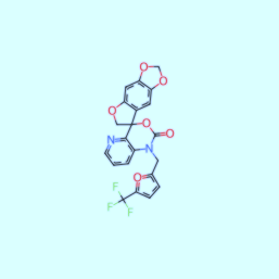 O=C1OC2(COc3cc4c(cc32)OCO4)c2ncccc2N1Cc1ccc(C(F)(F)F)o1